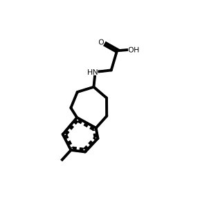 Cc1ccc2c(c1)CCC(NCC(=O)O)CC2